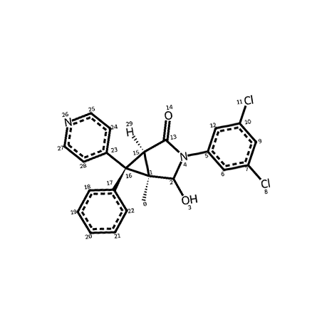 C[C@@]12C(O)N(c3cc(Cl)cc(Cl)c3)C(=O)[C@@H]1[C@@]2(c1ccccc1)c1ccncc1